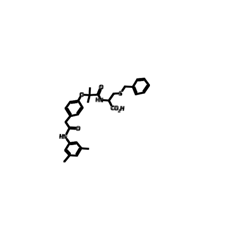 Cc1cc(C)cc(NC(=O)Cc2ccc(OC(C)(C)C(=O)NC(CSCc3ccccc3)C(=O)O)cc2)c1